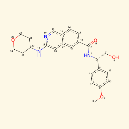 COc1ccc([C@@H](CO)NC(=O)c2ccc3cnc(NC4CCOCC4)cc3c2)cc1